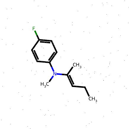 CC/C=C(\C)N(C)c1ccc(F)cc1